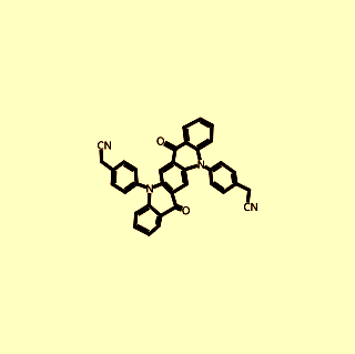 N#CCc1ccc(-n2c3ccccc3c(=O)c3cc4c(cc32)c(=O)c2ccccc2n4-c2ccc(CC#N)cc2)cc1